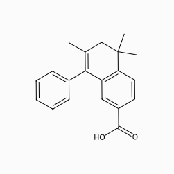 CC1=C(c2ccccc2)c2cc(C(=O)O)ccc2C(C)(C)C1